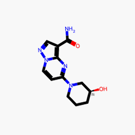 NC(=O)c1cnn2ccc(N3CCC[C@H](O)C3)nc12